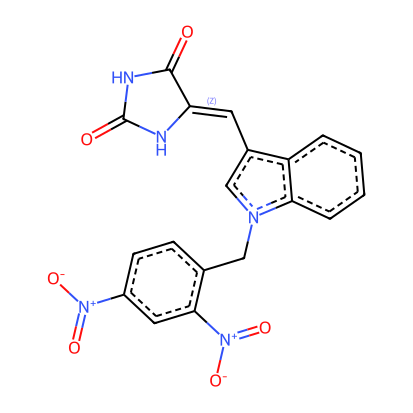 O=C1NC(=O)/C(=C/c2cn(Cc3ccc([N+](=O)[O-])cc3[N+](=O)[O-])c3ccccc23)N1